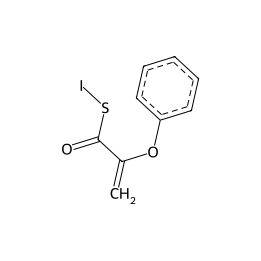 C=C(Oc1ccccc1)C(=O)SI